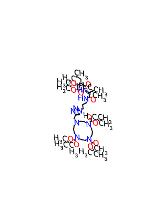 CC(C)C[C@@H](C(=O)N[C@H](C(=O)NCCCn1cc(CN2CCCN(C(=O)OC(C)(C)C)CCN(C(=O)OC(C)(C)C)CCCN(C(=O)OC(C)(C)C)CC2)nn1)C(C)(C)C)[C@@H]1OC(C)(C)OC1=O